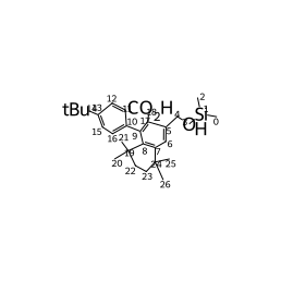 C[SiH](C)OCc1cc2c(c(-c3ccc(C(C)(C)C)cc3)c1C(=O)O)C(C)(C)CCC2(C)C